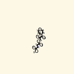 COC(=O)/C=C/C(=O)OCC(=O)C(=O)N1CCOCC1